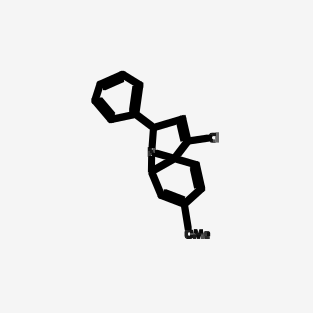 COC1=CC2N3C(c4ccccc4)C=C(Cl)C23C=C1